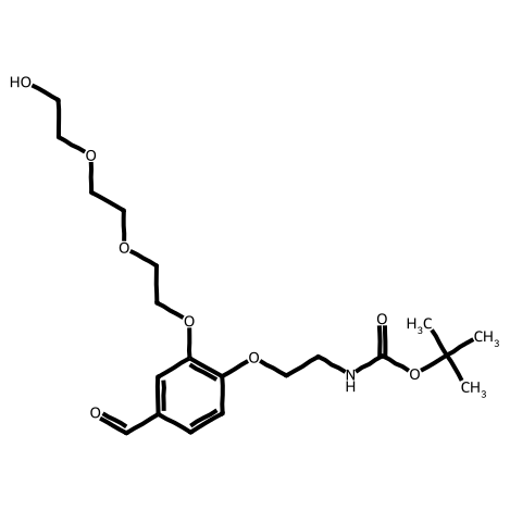 CC(C)(C)OC(=O)NCCOc1ccc(C=O)cc1OCCOCCOCCO